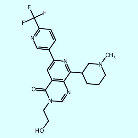 CN1CCCC(c2nc(-c3ccc(C(F)(F)F)nc3)cc3c(=O)n(CCO)cnc23)C1